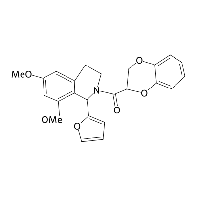 COc1cc2c(c(OC)c1)C(c1ccco1)N(C(=O)C1COc3ccccc3O1)CC2